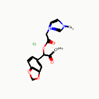 COC(=O)C(OC(=O)C[n+]1ccn(C)c1)c1ccc2c(c1)OCO2.[Cl-]